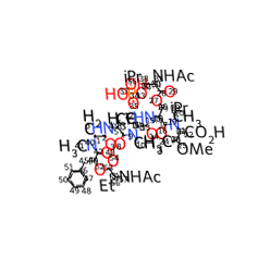 C=C(C(=O)N[C@@H](C)C(=O)N(C)[C@@H](C)C(=O)N[C@H](C(=O)N(C)[C@H](C(=O)O)[C@@H](C)OC)[C@H](OC(=O)[C@@H](NC(C)=O)[C@H](OP(=O)(O)O)C(C)C)C(C)C)N(C)C(=O)[C@@H](Cc1ccccc1)OC(=O)[C@H](CC)NC(C)=O